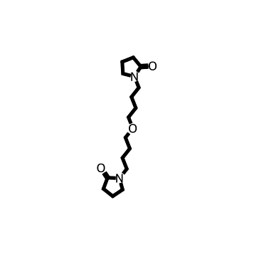 O=C1CCCN1CCCCOCCCCN1CCCC1=O